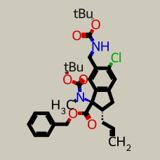 C=CC[C@H]1Cc2cc(Cl)c(CNC(=O)OC(C)(C)C)cc2[C@]1(C(=O)OCc1ccccc1)N(C)C(=O)OC(C)(C)C